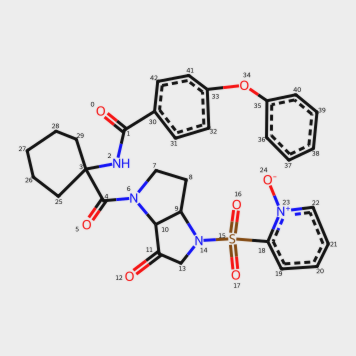 O=C(NC1(C(=O)N2CCC3C2C(=O)CN3S(=O)(=O)c2cccc[n+]2[O-])CCCCC1)c1ccc(Oc2ccccc2)cc1